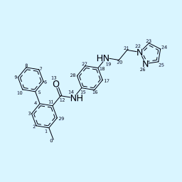 Cc1ccc(-c2ccccc2)c(C(=O)Nc2ccc(NCCn3cccn3)cc2)c1